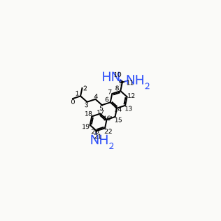 CC(C)CCCc1cc(C(=N)N)ccc1[CH]c1cccc(N)c1